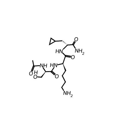 CC(=O)N[C@H](CO)C(=O)N[C@H](CCCCN)C(=O)N[C@H](CC1CC1)C(N)=O